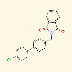 O=C1c2ccccc2C(=O)N1Cc1ccc(-c2ccc(Cl)cc2)cc1